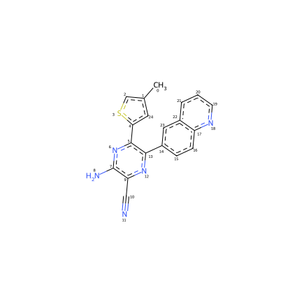 Cc1csc(-c2nc(N)c(C#N)nc2-c2ccc3ncccc3c2)c1